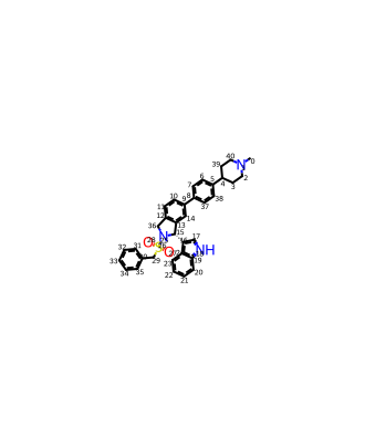 CN1CCC(c2ccc(-c3ccc4c(c3)[C@H](c3c[nH]c5ccccc35)N(S(=O)(=O)Cc3ccccc3)C4)cc2)CC1